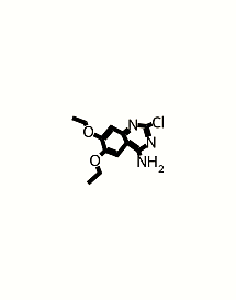 CCOc1cc2nc(Cl)nc(N)c2cc1OCC